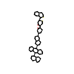 c1ccc2c(-c3c4ccccc4c(-c4ccc5cc(-c6ccc7c(c6)oc6cc8c(cc67)sc6ccc7ccccc7c68)ccc5c4)c4ccccc34)cccc2c1